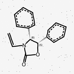 C=CN1C(=O)O[C@@H](c2ccccc2)[C@H]1c1ccccc1